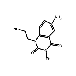 CCn1c(=O)c2cc(N)ccc2n(CCC#N)c1=O